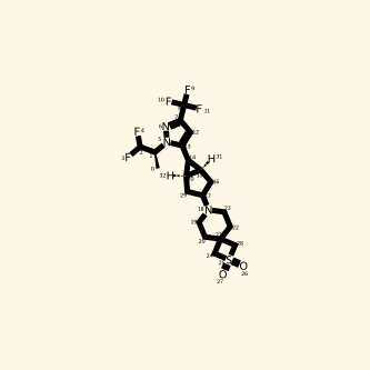 C[C@@H](C(F)F)n1nc(C(F)(F)F)cc1C1[C@H]2CC(N3CCC4(CC3)CS(=O)(=O)C4)C[C@@H]12